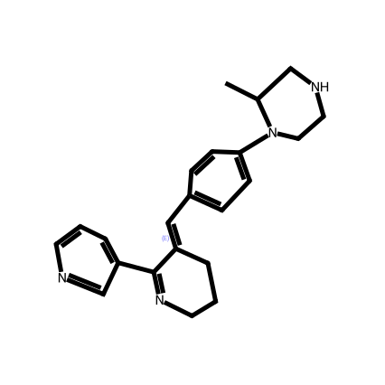 CC1CNCCN1c1ccc(/C=C2\CCCN=C2c2cccnc2)cc1